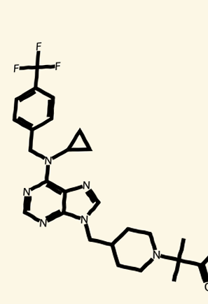 CC(=O)C(C)(C)N1CCC(Cn2cnc3c(N(Cc4ccc(C(F)(F)F)cc4)C4CC4)ncnc32)CC1